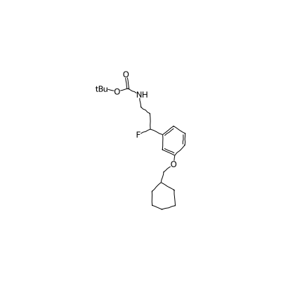 CC(C)(C)OC(=O)NCCC(F)c1cccc(OCC2CCCCC2)c1